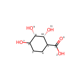 O=C(O)C1CCC(O)[C@H](O)[C@@H]1O